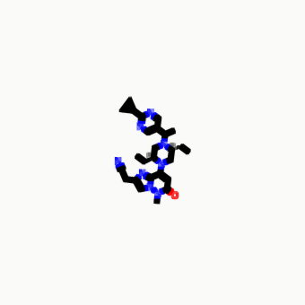 CC[C@H]1CN(C(C)c2cnc(C3CC3)nc2)[C@H](CC)CN1c1cc(=O)n(C)n2cc(CC#N)nc12